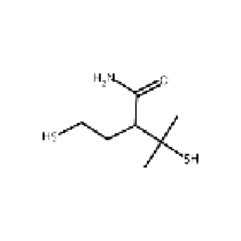 CC(C)(S)C(CCS)C(N)=O